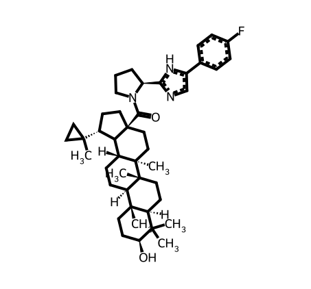 CC1([C@@H]2CC[C@]3(C(=O)N4CCC[C@H]4c4ncc(-c5ccc(F)cc5)[nH]4)CC[C@]4(C)[C@H](CC[C@@H]5[C@@]6(C)CC[C@H](O)C(C)(C)[C@@H]6CC[C@]54C)C23)CC1